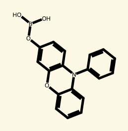 OB(O)Oc1ccc2c(c1)Oc1ccccc1N2c1ccccc1